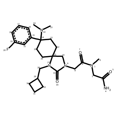 CN(CC(N)=O)C(=O)CN1CC2(CCC(c3cccc(F)c3)(N(C)C)CC2)N(CC2CCC2)C1=O